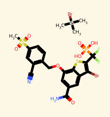 CS(=O)(=O)c1ccc(COc2cc(C(N)=O)cc3c(Br)c(C(F)(F)P(=O)(O)O)sc23)c(C#N)c1.C[Si](C)(C)Br